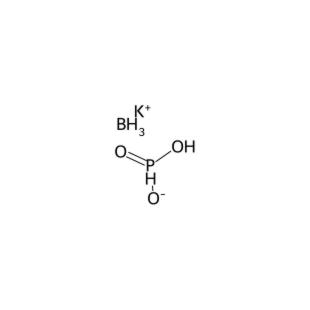 B.O=[PH]([O-])O.[K+]